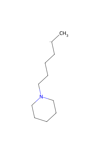 C[CH]CCCCN1CCCCC1